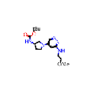 COCCNc1cc(N2CCC(NC(=O)OC(C)(C)C)C2)cnn1